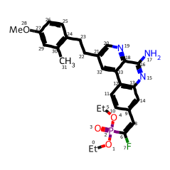 CCOP(=O)(OCC)C(F)=Cc1ccc2c(c1)nc(N)c1ncc(CCc3ccc(OC)cc3C)cc12